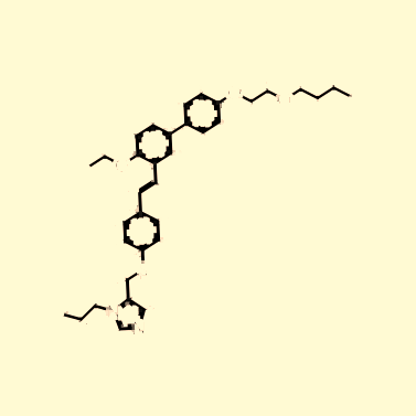 CCCCOCCOc1ccc(-c2ccc(OCC)c(/C=C/c3ccc(SCc4cncn4CCC)cc3)c2)cc1